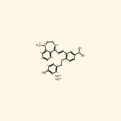 CCN(CC)c1ccc(OCc2ccc(Cl)cc2)c(C=CC2=NCCN(C)c3ccccc32)c1.Cl.Cl